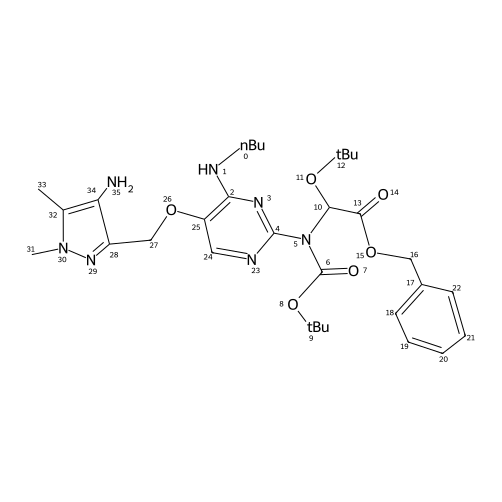 CCCCNc1nc(N(C(=O)OC(C)(C)C)C(OC(C)(C)C)C(=O)OCc2ccccc2)ncc1OCc1nn(C)c(C)c1N